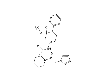 O=C(NC1=CC=C(c2ccccc2)C(Cl)(OC(F)(F)F)C1)[C@H]1CCCCN1C(=O)Cn1ccnc1